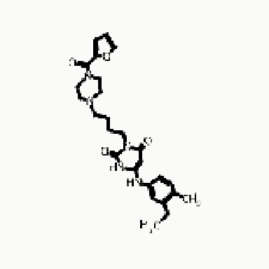 CCc1cc(Nc2cc(=O)n(CCCCN3CCN(C(=O)c4ccco4)CC3)c(=O)[nH]2)ccc1C